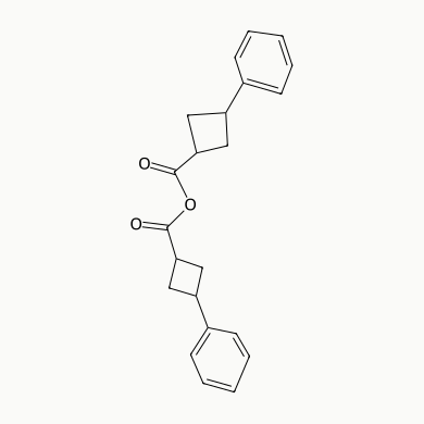 O=C(OC(=O)C1CC(c2ccccc2)C1)C1CC(c2ccccc2)C1